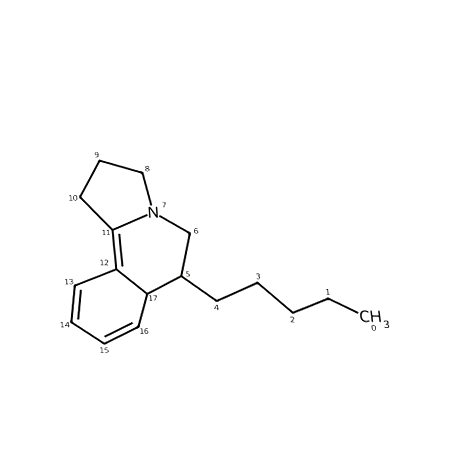 CCCCCC1CN2CCCC2=C2C=CC=CC21